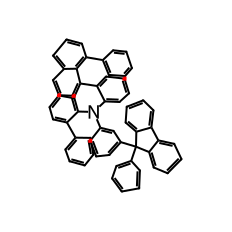 c1ccc(-c2ccccc2N(c2cccc(C3(c4ccccc4)c4ccccc4-c4ccccc43)c2)c2ccccc2-c2cccc3cccc(-c4ccccc4)c23)cc1